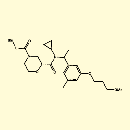 COCCCOc1cc(C)cc(C(C)N(C(=O)[C@H]2CN(C(=O)OC(C)(C)C)CCO2)C2CC2)c1